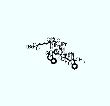 CCC[C@H](NC(=O)[C@@H]1C[C@@H](O[N+]2([O-])CCc3ccccc3C2)CN1C(=O)[C@@H](NC(=O)[C@@H](NC(=O)CCCCC(=O)OC(C)(C)C)C(C)C)C(C)C)C(=O)C(F)(F)C(=O)N[C@@H](C)c1ccccc1